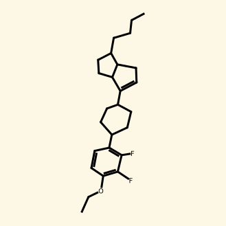 CCCCC1CCC2C(C3CCC(c4ccc(OCC)c(F)c4F)CC3)=CCC12